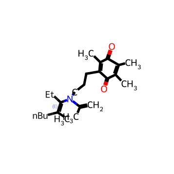 C=C(C)N(CCCC1=C(C)C(=O)C(C)=C(C)C1=O)/C(CC)=C(\C)CCCC